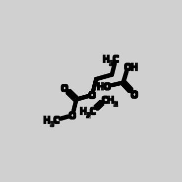 C=C.CCCOC(=O)OC.O=C(O)O